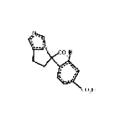 CCOC(=O)c1ccc(C2(C(=O)O)CCc3cncn32)c(F)c1